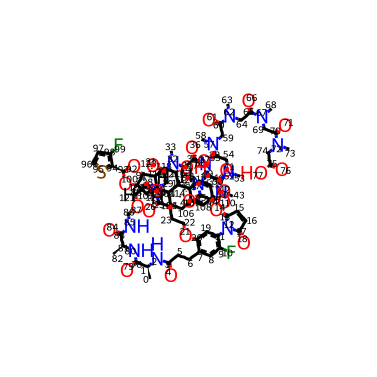 C[C@H](NC(=O)CCc1cc(F)c(N2C(=O)C=CC2=O)cc1OCCCC(=O)N(C)CC(=O)N(C)CC(=O)N(C)CC(=O)N(C)CC(=O)N(C)CC(=O)N(C)CC(=O)N(C)CC(=O)N(C)CC(=O)N(C)CC(=O)N(C)CC(=O)O)C(=O)N[C@@H](C)C(=O)NCOCC(=O)[C@@]12O[C@H](c3sccc3F)O[C@@H]1C[C@H]1[C@@H]3CCC4=CC(=O)C=C[C@]4(C)[C@H]3[C@@H](O)C[C@@]12C